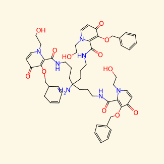 NC(CCCNC(=O)c1c(OCc2ccccc2)c(=O)ccn1CCO)(CCCNC(=O)c1c(OCc2ccccc2)c(=O)ccn1CCO)CCCNC(=O)c1c(OCC2C=CC=CC2)c(=O)ccn1CCO